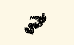 CC(C)(C)OC(=O)N1CC(Oc2cnc(F)c(CO)c2)C1